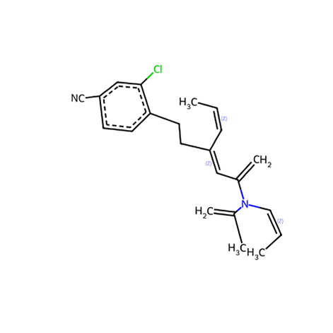 C=C(C)N(/C=C\C)C(=C)/C=C(\C=C/C)CCc1ccc(C#N)cc1Cl